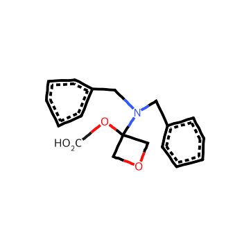 O=C(O)OC1(N(Cc2ccccc2)Cc2ccccc2)COC1